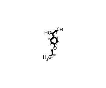 C#CC(O)c1ccc(OCCC)cc1